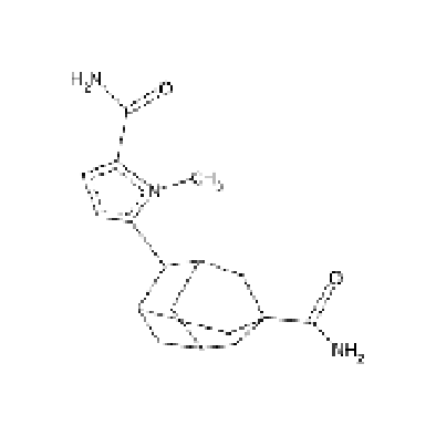 Cn1c(C(N)=O)ccc1C1C2CC3CC1CC(C(N)=O)(C3)C2